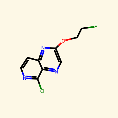 FCCOc1cnc2c(Cl)nccc2n1